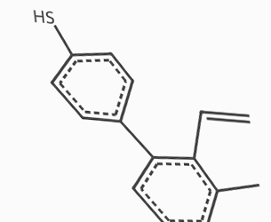 C=Cc1c(C)cccc1-c1ccc(S)cc1